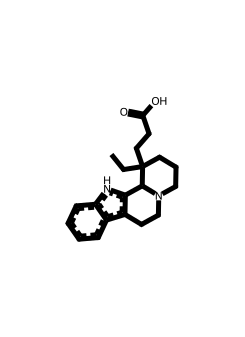 CCC1(CCC(=O)O)CCCN2CCc3c([nH]c4ccccc34)C21